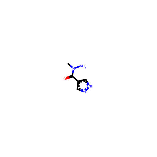 CN(N)C(=O)c1cn[nH]c1